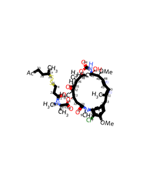 COc1cc2cc(c1Cl)N(C)C(=O)C[C@H](OC(=O)[C@H](C)N(C)C(=O)CCSSC(C)CCC(C)=O)[C@@]1(C)O[C@H]1[C@H](C)[C@@H]1C[C@@](O)(NC(=O)O1)[C@H](OC)/C=C/C=C(\C)C2